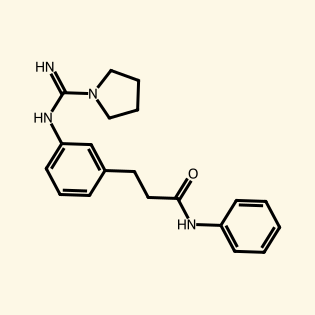 N=C(Nc1cccc(CCC(=O)Nc2ccccc2)c1)N1CCCC1